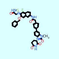 Cn1c(=O)n(C2CCC(=O)NC2=O)c2ccc(-c3ccc(CC(=O)Nc4ccc5c(F)c(N6CC(=O)NS6)c(OCc6ccccc6)cc5c4)cc3)cc21